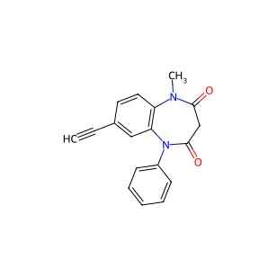 C#Cc1ccc2c(c1)N(c1ccccc1)C(=O)CC(=O)N2C